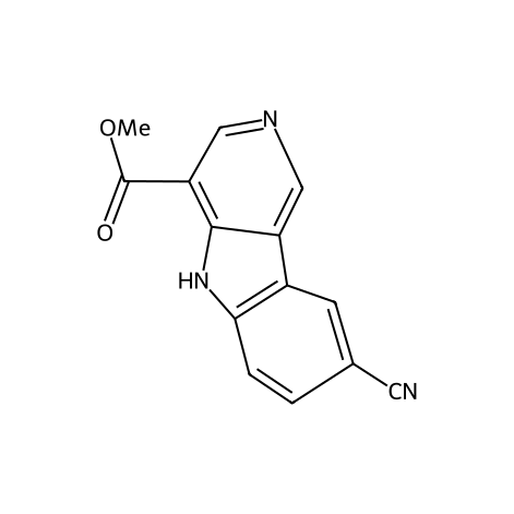 COC(=O)c1cncc2c1[nH]c1ccc(C#N)cc12